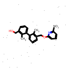 Cc1c(CO)cccc1-c1cccc(COc2cccc([N+](=O)[O-])n2)c1C